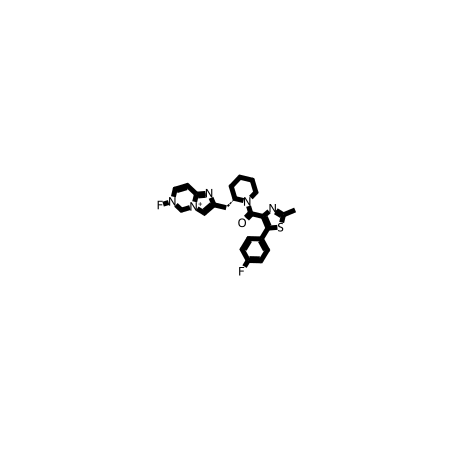 Cc1nc(C(=O)N2CCCC[C@H]2CC2=C[N+]3CN(F)C=CC3=N2)c(-c2ccc(F)cc2)s1